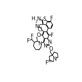 N#Cc1c(N)sc2c(F)ccc(-c3c(Cl)c4c5c(nc(OCC67CCCN6C[C@H](F)C7)nc5c3F)N3CCCCC(C(F)F)C3CO4)c12